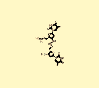 Cc1cn([C@H]2CC(NPOC[C@H]3O[C@@H](n4cc(C)c(=O)[nH]c4=O)C[C@H]3N)[C@@H](COPS)O2)c(=O)[nH]c1=O